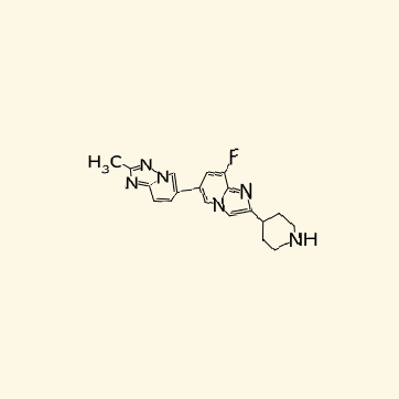 Cc1nc2ccc(-c3cc(F)c4nc(C5CCNCC5)cn4c3)cn2n1